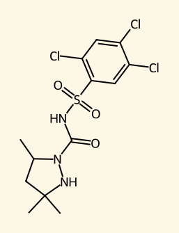 CC1CC(C)(C)NN1C(=O)NS(=O)(=O)c1cc(Cl)c(Cl)cc1Cl